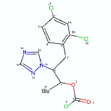 CC(C)(C)C(OC(=O)Cl)C(Cc1ccc(Cl)cc1Cl)n1cncn1